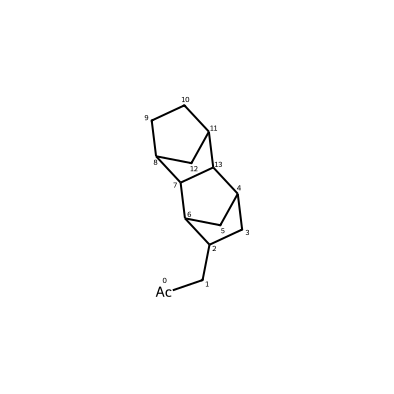 CC(=O)CC1CC2CC1C1C3CCC(C3)C21